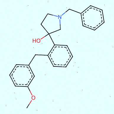 COc1cccc(Cc2ccccc2C2(O)CCN(Cc3ccccc3)C2)c1